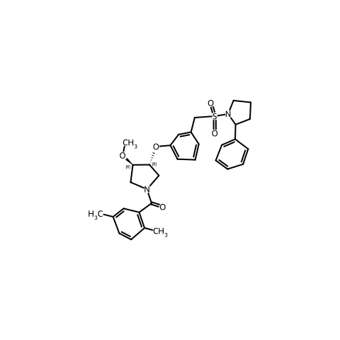 CO[C@@H]1CN(C(=O)c2cc(C)ccc2C)C[C@H]1Oc1cccc(CS(=O)(=O)N2CCCC2c2ccccc2)c1